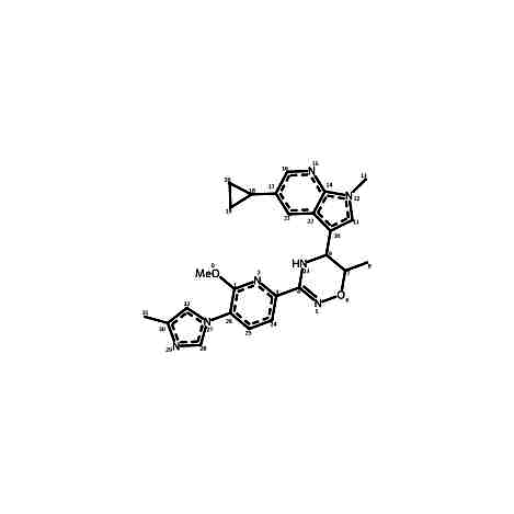 COc1nc(C2=NOC(C)C(c3cn(C)c4ncc(C5CC5)cc34)N2)ccc1-n1cnc(C)c1